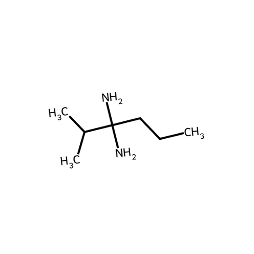 CCCC(N)(N)C(C)C